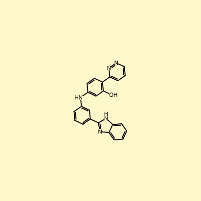 Oc1cc(Nc2cccc(-c3nc4ccccc4[nH]3)c2)ccc1-c1cccnn1